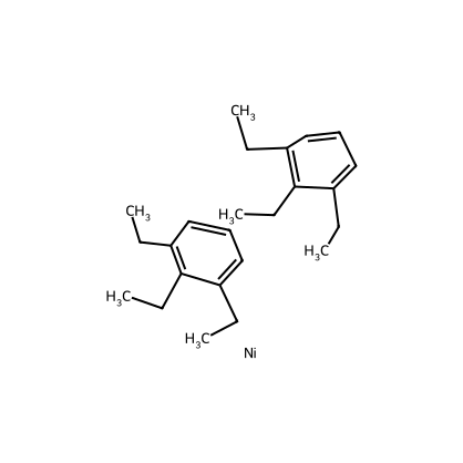 CCc1cccc(CC)c1CC.CCc1cccc(CC)c1CC.[Ni]